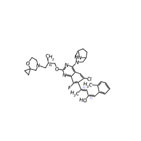 C/C(=C\C(O)=C/c1ccccc1C)c1c(Cl)cc2c(N3CC4CCC(C3)N4)nc(OC[C@H](C)CN3CCOC4(CC4)C3)nc2c1F